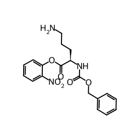 NCCC[C@@H](NC(=O)OCc1ccccc1)C(=O)Oc1ccccc1[N+](=O)[O-]